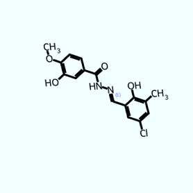 COc1ccc(C(=O)N/N=C/c2cc(Cl)cc(C)c2O)cc1O